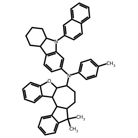 Cc1ccc(N(c2ccc3c(c2)N(c2ccc4ccccc4c2)C2CCCCC32)C2CCC3C(c4ccccc4C3(C)C)C3c4ccccc4OC32)cc1